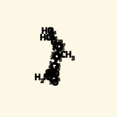 Cc1cc(C2CCN(S(=O)(=O)C3(C(N)=O)CCOCC3)CC2)ccc1-c1cccc(OC[C@@H](O)CO)n1